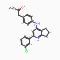 CNC(=O)Cc1ccc(Nc2cc(-c3cccc(Cl)c3)nc3c2CCC3)cc1